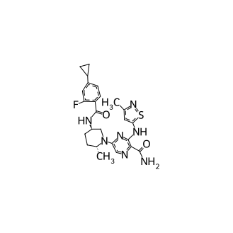 Cc1cc(Nc2nc(N3C[C@H](NC(=O)c4ccc(C5CC5)cc4F)CC[C@H]3C)cnc2C(N)=O)sn1